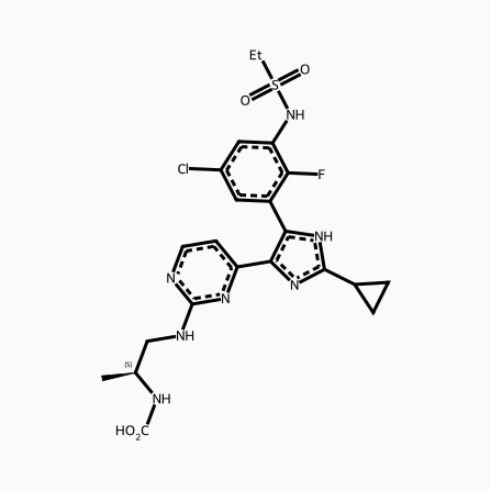 CCS(=O)(=O)Nc1cc(Cl)cc(-c2[nH]c(C3CC3)nc2-c2ccnc(NC[C@H](C)NC(=O)O)n2)c1F